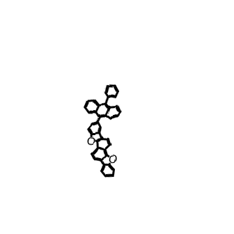 c1ccc(-c2c3ccccc3c(-c3ccc4oc5c(ccc6c5ccc5c7ccccc7oc56)c4c3)c3ccccc23)cc1